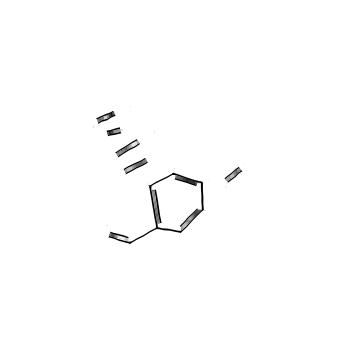 [C]=O.[C]=O.[C]=O.[C]=O.[C]=O.[Cr]=[CH]c1ccccc1